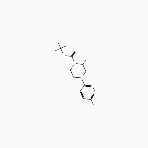 CC1CN(c2ccc(Cl)nn2)CCN1C(=O)OC(C)(C)C